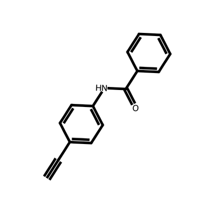 C#Cc1ccc(NC(=O)c2ccccc2)cc1